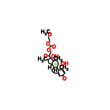 COCCOC(=O)OCC(=O)[C@@]1(O)[C@H](C)C[C@H]2[C@@H]3CCC4=CC(=O)C=C[C@]4(C)[C@@]3(F)[C@@H](O)C[C@@]21C